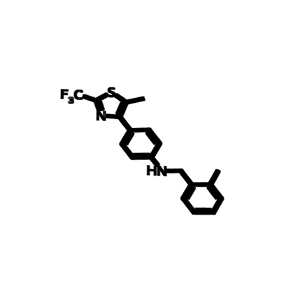 Cc1ccccc1CNc1ccc(-c2nc(C(F)(F)F)sc2C)cc1